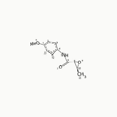 COc1ccc(NC(=O)[C@@H]2O[C@H]2C)cc1